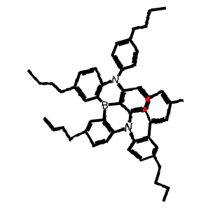 CCCCc1ccc(N2c3ccc(CCCC)cc3B3c4cc(CCCC)ccc4N(c4ccc(CCCC)cc4-c4cc(C)cc(C)c4)c4cccc2c43)cc1